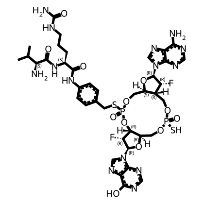 CC(C)[C@H](N)C(=O)N[C@@H](CCCNC(N)=O)C(=O)Nc1ccc(CSP2(=O)OC[C@H]3O[C@@H](n4cnc5c(N)ncnc54)[C@H](F)[C@@H]3COP(=O)(S)OC[C@H]3O[C@@H](n4cnc5c(O)ncnc54)[C@H](F)[C@@H]3O2)cc1